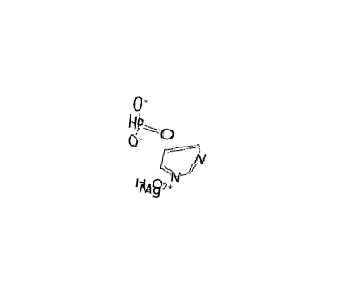 O.O=[PH]([O-])[O-].[Mg+2].c1cncnc1